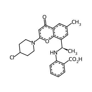 Cc1cc([C@@H](C)Nc2ccccc2C(=O)O)c2oc(N3CCC(Cl)CC3)cc(=O)c2c1